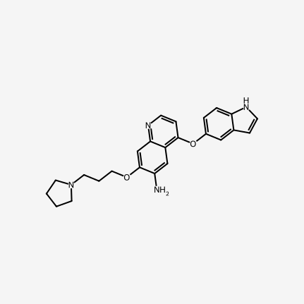 Nc1cc2c(Oc3ccc4[nH]ccc4c3)ccnc2cc1OCCCN1CCCC1